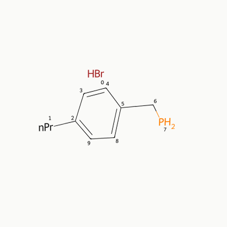 Br.CCCc1ccc(CP)cc1